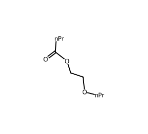 CCCOCCOC(=O)CCC